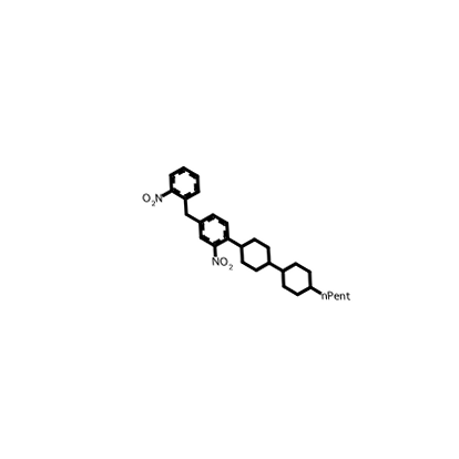 CCCCCC1CCC(C2CCC(c3ccc(Cc4ccccc4[N+](=O)[O-])cc3[N+](=O)[O-])CC2)CC1